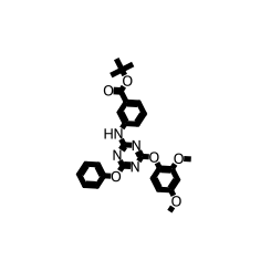 COc1ccc(Oc2nc(Nc3cccc(C(=O)OC(C)(C)C)c3)nc(Oc3ccccc3)n2)c(OC)c1